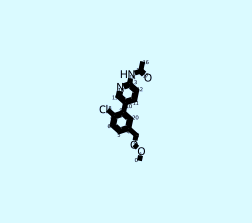 COOCc1ccc(Cl)c(-c2ccc(NC(C)=O)nc2)c1